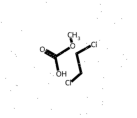 COC(=O)O.ClCCCl